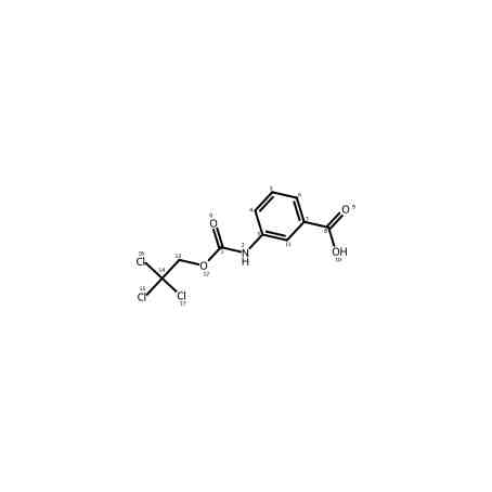 O=C(Nc1cccc(C(=O)O)c1)OCC(Cl)(Cl)Cl